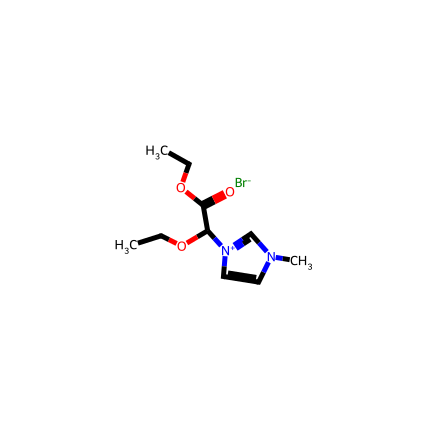 CCOC(=O)C(OCC)[n+]1ccn(C)c1.[Br-]